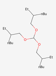 CCCCC(CC)COC(OCC(CC)CCCC)OCC(CC)CCCC